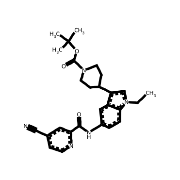 CCn1cc(C2CCN(C(=O)OC(C)(C)C)CC2)c2cc(NC(=O)c3cc(C#N)ccn3)ccc21